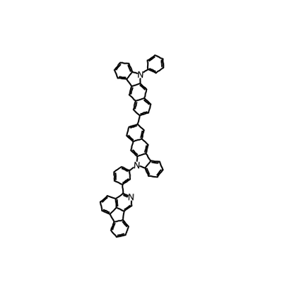 c1ccc(-n2c3ccccc3c3cc4cc(-c5ccc6cc7c(cc6c5)c5ccccc5n7-c5cccc(-c6ncc7c8c(cccc68)-c6ccccc6-7)c5)ccc4cc32)cc1